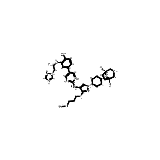 CC(C)OCCCOc1nn([C@H]2CC[C@H](N3[C@@H]4CC[C@H]3COC4)CC2)cc1Nc1ncc(-c2ccc(Cl)c(O[C@@H](C)Cn3cncn3)c2)cn1